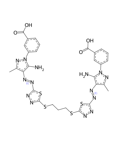 Cc1nn(-c2cccc(C(=O)O)c2)c(N)c1/N=N/c1nnc(SCCCSc2nnc(/N=N/c3c(C)nn(-c4cccc(C(=O)O)c4)c3N)s2)s1